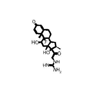 C[C@@H]1CC2C3CCC4=CC(=O)C=CC4(C)C3(F)C(O)CC2(C)C1(O)C(=O)CNC(=N)N